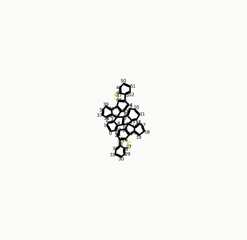 c1ccc2c(c1)C1=C(c3ccccc3C13c1ccccc1-c1c3ccc3c1sc1ccccc13)C21c2ccccc2-c2c1ccc1c2sc2ccccc21